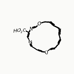 O=C(O)C1=C/N=C/C=C\O/C=C/C=C\C=C\C=C\CO\C=N\1